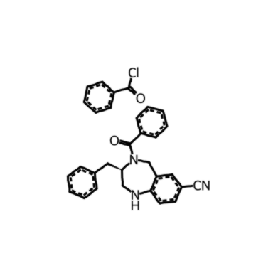 N#Cc1ccc2c(c1)CN(C(=O)c1ccccc1)[C@H](Cc1ccccc1)CN2.O=C(Cl)c1ccccc1